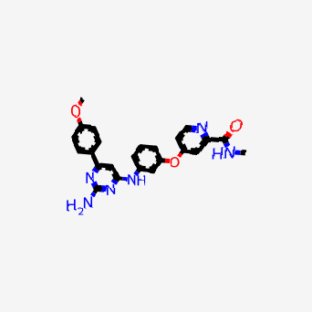 CNC(=O)c1cc(Oc2cccc(Nc3cc(-c4ccc(OC)cc4)nc(N)n3)c2)ccn1